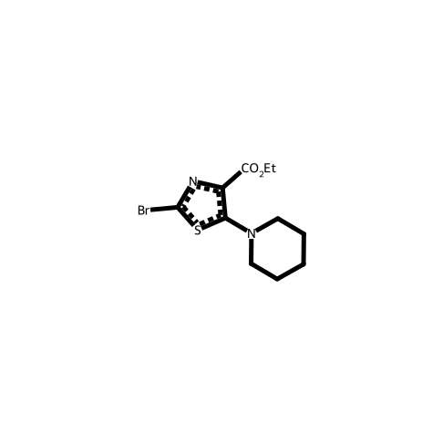 CCOC(=O)c1nc(Br)sc1N1CCCCC1